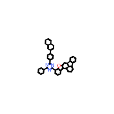 C1=CC2=CC(c3ccc(-c4nc(-c5ccccc5)nc(-c5cccc6c5oc5cc7c8c(cccc8c56)-c5ccccc5-7)n4)cc3)=CCC2C=C1